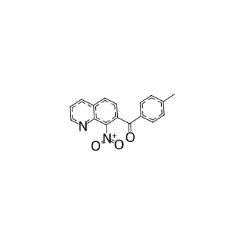 Cc1ccc(C(=O)c2ccc3cccnc3c2[N+](=O)[O-])cc1